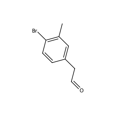 Cc1cc(CC=O)ccc1Br